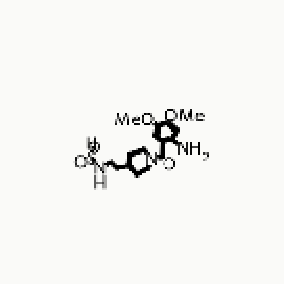 COc1cc(N)c(C(=O)N2CCC(CCN[SH](=O)=O)CC2)cc1OC